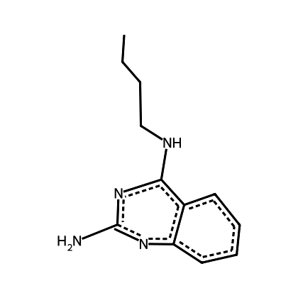 CCCCNc1nc(N)nc2ccccc12